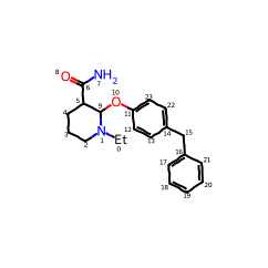 CCN1CCCC(C(N)=O)C1Oc1ccc(Cc2ccccc2)cc1